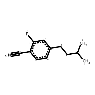 CC(C)CCc1ccc(C#N)c(F)c1